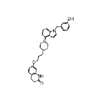 O=C1CCc2ccc(OCCCN3CCN(c4cccc5c4ccn5Cc4cccc(O)c4)CC3)cc2N1